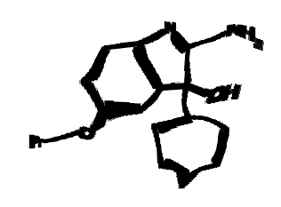 CC(C)Oc1ccc2c(c1)C(O)(c1ccccc1)C(N)=N2